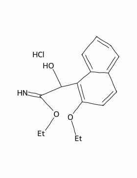 CCOC(=N)C(O)c1c(OCC)ccc2ccccc12.Cl